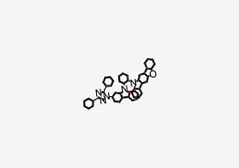 c1ccc(-c2nc(-c3ccccc3)n(-c3ccc4c5ccccc5n(-c5ccccc5-n5c6ccccc6c6cc7oc8ccccc8c7cc65)c4c3)n2)cc1